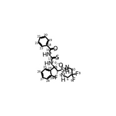 C[C@@](C[SH]1(=O)NCC(F)(F)CN1)(NC(=S)NC(=O)c1ccccc1)c1ccccc1F